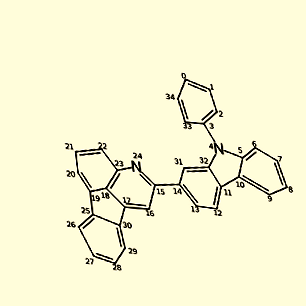 c1ccc(-n2c3ccccc3c3ccc(-c4cc5c6c(cccc6n4)-c4ccccc4-5)cc32)cc1